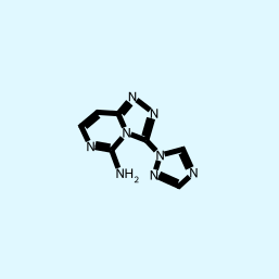 Nc1nccc2nnc(-n3cncn3)n12